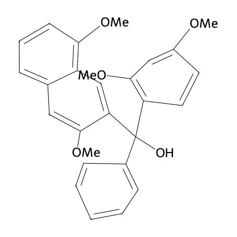 COc1ccc(C(O)(c2ccccc2)c2cc3c(OC)cccc3cc2OC)c(OC)c1